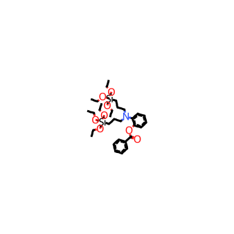 CCO[Si](CCCN(CCC[Si](OCC)(OCC)OCC)c1ccccc1OC(=O)c1ccccc1)(OCC)OCC